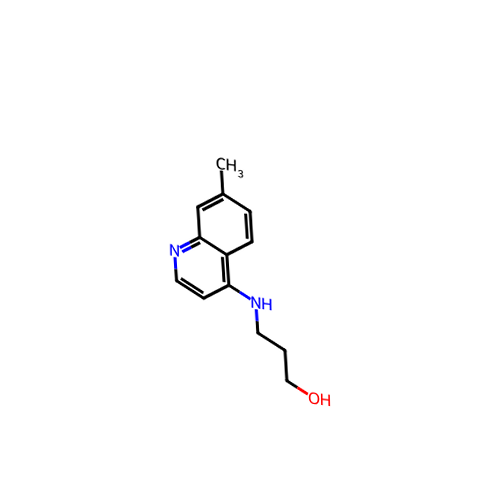 Cc1ccc2c(NCCCO)ccnc2c1